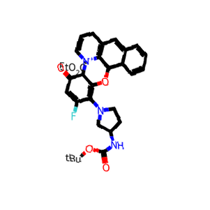 CCOC(=O)[N+]12C=CCC3=C1C(OC1=C(N4CCC(NC(=O)OC(C)(C)C)C4)C(F)=CC(=O)C12)C1C=CC=CC1=C3